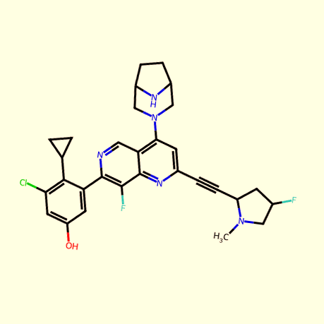 CN1CC(F)CC1C#Cc1cc(N2CC3CCC(C2)N3)c2cnc(-c3cc(O)cc(Cl)c3C3CC3)c(F)c2n1